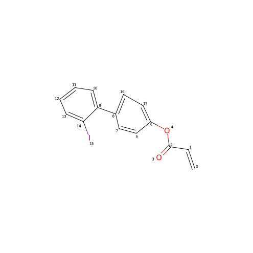 C=CC(=O)Oc1ccc(-c2ccccc2I)cc1